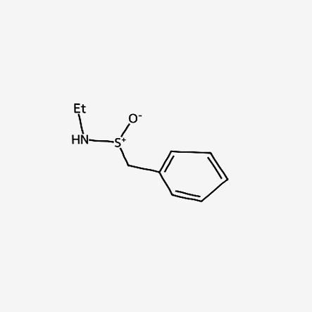 CCN[S+]([O-])Cc1ccccc1